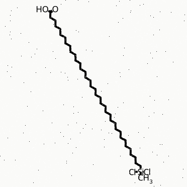 C[Si](Cl)(Cl)CCCCCCCCCCCCCCCCCCCCCCCCCCCCCCCCCCCCC(=O)O